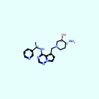 C[C@@H](Nc1ncnn2ccc(CN3CC[C@@H](N)[C@H](O)C3)c12)c1cccnc1